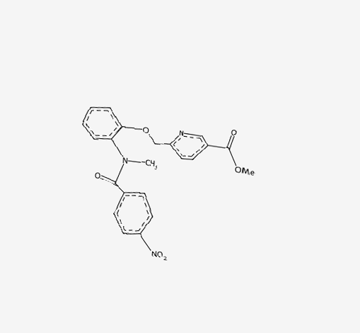 COC(=O)c1ccc(COc2ccccc2N(C)C(=O)c2ccc([N+](=O)[O-])cc2)nc1